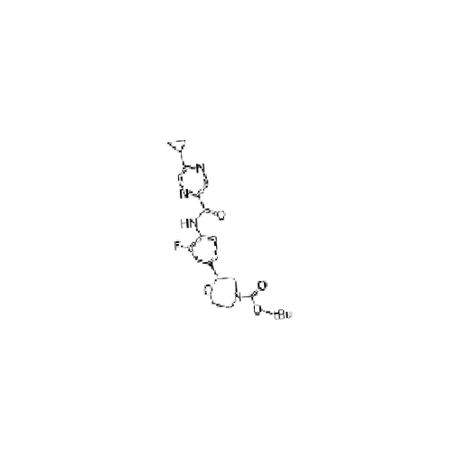 CC(C)(C)OC(=O)N1CCO[C@@H](c2ccc(NC(=O)c3cnc(C4CC4)cn3)c(F)c2)C1